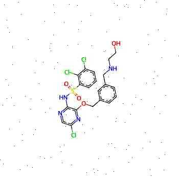 O=S(=O)(Nc1ncc(Cl)nc1OCc1cccc(CNCCO)c1)c1cccc(Cl)c1Cl